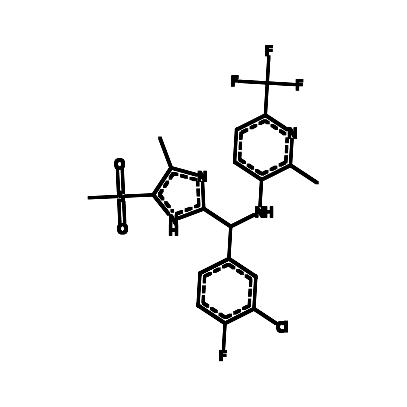 Cc1nc(C(F)(F)F)ccc1NC(c1ccc(F)c(Cl)c1)c1nc(C)c(S(C)(=O)=O)[nH]1